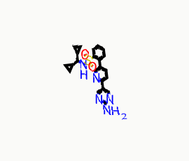 Nc1ncc(-c2ccc(-c3ccccc3S(=O)(=O)NC(C3CC3)C3CC3)cn2)cn1